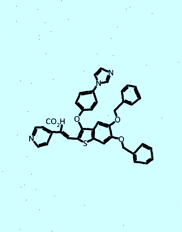 O=C(O)C(=Cc1sc2cc(OCc3ccccc3)c(OCc3ccccc3)cc2c1Oc1ccc(-n2ccnc2)cc1)c1ccncc1